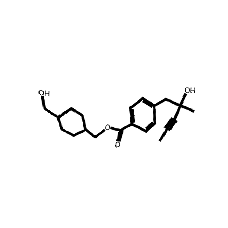 CC#CC(C)(O)Cc1ccc(C(=O)OCC2CCC(CO)CC2)cc1